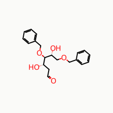 O=CC[C@H](O)[C@@H](OCc1ccccc1)[C@H](O)COCc1ccccc1